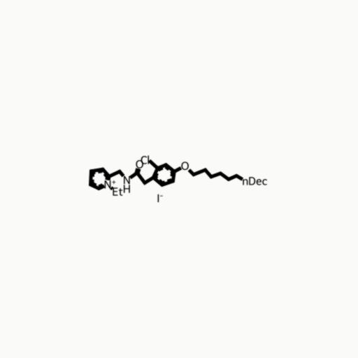 CCCCCCCCCCCCCCCCOc1ccc(CC(=O)NCc2cccc[n+]2CC)c(Cl)c1.[I-]